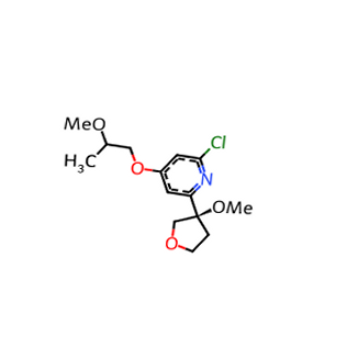 COC(C)COc1cc(Cl)nc([C@]2(OC)CCOC2)c1